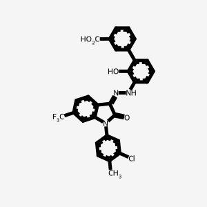 Cc1ccc(N2C(=O)/C(=N\Nc3cccc(-c4cccc(C(=O)O)c4)c3O)c3ccc(C(F)(F)F)cc32)cc1Cl